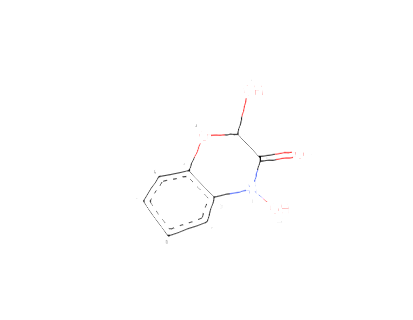 O=C1C(O)Oc2ccccc2N1O